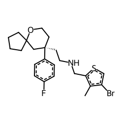 Cc1c(Br)csc1CNCC[C@@]1(c2ccc(F)cc2)CCOC2(CCCC2)C1